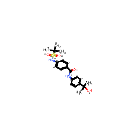 CC(C)(O)c1ccc(NC(=O)c2ccc(NS(=O)(=O)C(C)(C)C)cc2)cc1